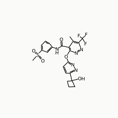 Cc1c(C(F)(F)F)nnc(Oc2ccc(C3(O)CCC3)nn2)c1C(=O)Nc1cccc(S(C)(=O)=O)c1